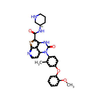 COc1ccccc1Oc1ccc(N2C(=O)Nc3c(C(=O)N[C@@H]4CCCNC4)sc4nccc2c34)c(C)c1